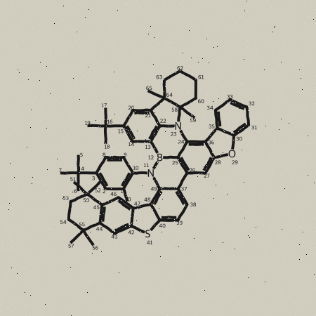 Cc1cc(C(C)(C)C)ccc1N1B2c3cc(C(C)(C)C)cc4c3N(c3c2c(cc2oc5ccccc5c32)-c2ccc3sc5cc6c(cc5c3c21)C(C)(C)CCC6(C)C)C1(C)CCCCC41C